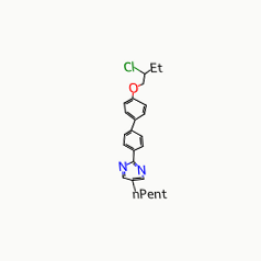 CCCCCc1cnc(-c2ccc(-c3ccc(OCC(Cl)CC)cc3)cc2)nc1